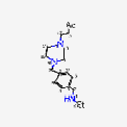 CCNCc1ccc(CN2CCN(CCC(C)=O)CC2)cc1